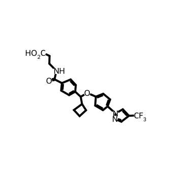 O=C(O)CCNC(=O)c1ccc(C(Oc2ccc(-n3cc(C(F)(F)F)cn3)cc2)C2CCC2)cc1